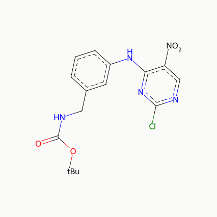 CC(C)(C)OC(=O)NCc1cccc(Nc2nc(Cl)ncc2[N+](=O)[O-])c1